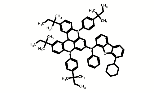 CCC(C)(C)c1ccc(N2c3ccc(C(C)(C)CC)cc3B3c4cc(C(C)(C)CC)ccc4N(c4ccc(C(C)(C)CC)cc4)c4cc(N(c5ccccc5)c5cccc6c5oc5c(C7CCCCC7)cccc56)cc2c43)cc1